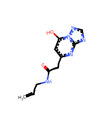 C=CCNC(=O)Cc1cc(O)n2ncnc2n1